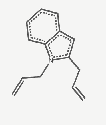 C=CCc1cc2ccccc2n1CC=C